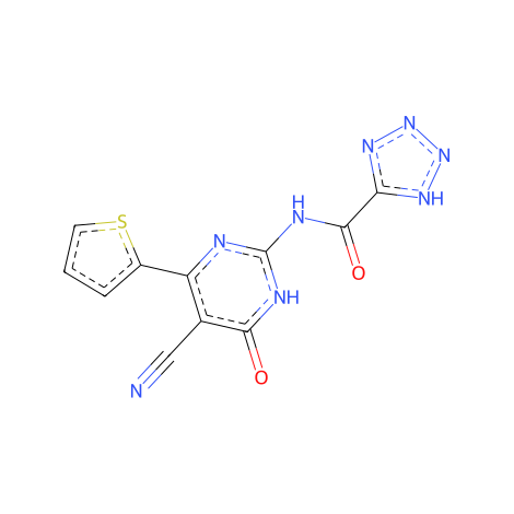 N#Cc1c(-c2cccs2)nc(NC(=O)c2nnn[nH]2)[nH]c1=O